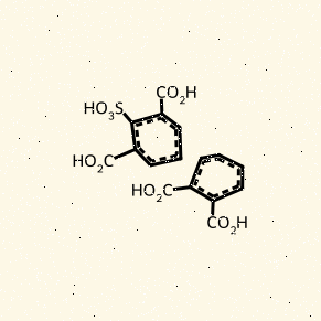 O=C(O)c1cccc(C(=O)O)c1S(=O)(=O)O.O=C(O)c1ccccc1C(=O)O